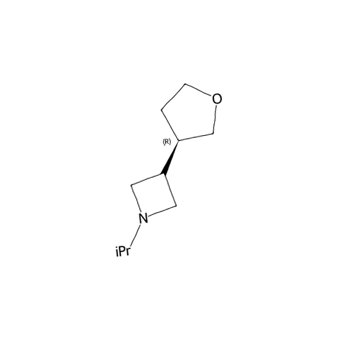 CC(C)N1CC([C@H]2CCOC2)C1